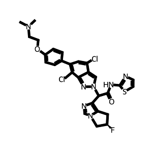 CN(C)CCOc1ccc(-c2cc(Cl)c3cn(C(C(=O)Nc4nccs4)c4ncn5c4C[C@@H](F)C5)nc3c2Cl)cc1